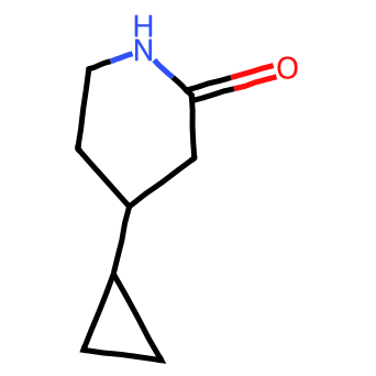 O=C1CC(C2CC2)CCN1